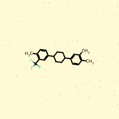 Cc1ccc(C2CCC(c3ccc(C)c(C(F)(F)F)c3)CC2)cc1C